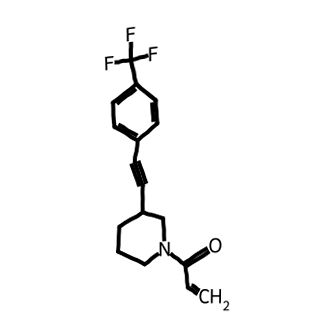 C=CC(=O)N1CCCC(C#Cc2ccc(C(F)(F)F)cc2)C1